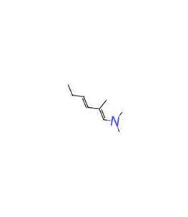 CCC=C/C(C)=C/N(C)C